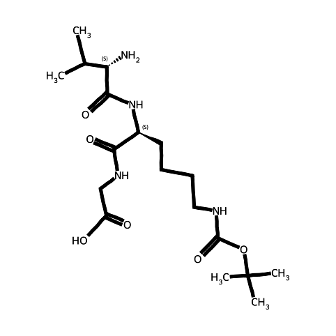 CC(C)[C@H](N)C(=O)N[C@@H](CCCCNC(=O)OC(C)(C)C)C(=O)NCC(=O)O